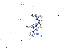 COn1c(-c2cccnc2N)nc2ccc(-c3cccn(C)c3=O)nc21